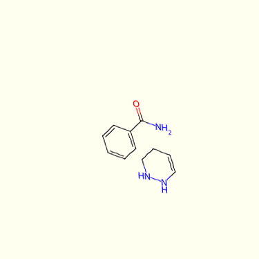 C1=CNNCC1.NC(=O)c1ccccc1